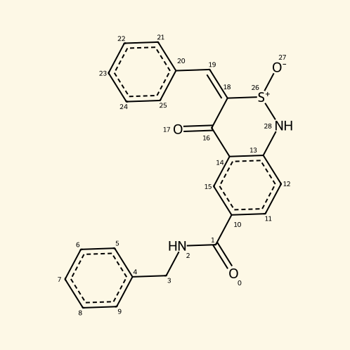 O=C(NCc1ccccc1)c1ccc2c(c1)C(=O)/C(=C\c1ccccc1)[S+]([O-])N2